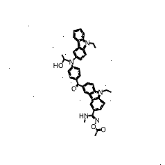 CCn1c2ccc(C(=O)c3ccc(N(c4ccc5c(c4)c4ccccc4n5CC)C(C)O)cc3)cc2c2cc(C(=NOC(C)=O)NC)ccc21